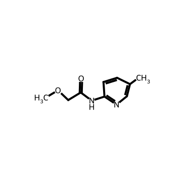 COCC(=O)Nc1ccc(C)cn1